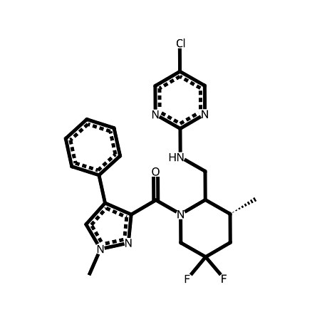 C[C@@H]1CC(F)(F)CN(C(=O)c2nn(C)cc2-c2ccccc2)C1CNc1ncc(Cl)cn1